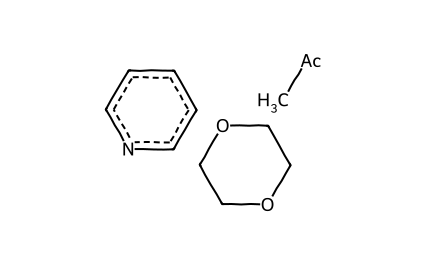 C1COCCO1.CC(C)=O.c1ccncc1